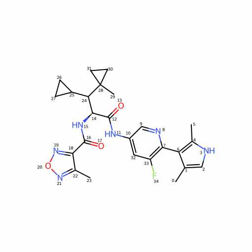 Cc1c[nH]c(C)c1-c1ncc(NC(=O)[C@@H](NC(=O)c2nonc2C)C(C2CC2)C2(C)CC2)cc1F